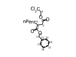 CCCCCC(CC(=O)OCC(Cl)(Cl)Cl)C(=O)OCc1ccccc1